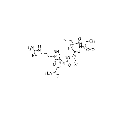 CC(C)C[C@H](NC(=O)[C@H](CC(C)C)NC(=O)[C@H](CCC(N)=O)NC(=O)[C@@H](N)CCCNC(=N)N)C(=O)N[C@H]([C]=O)CO